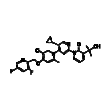 CC1=CC(OCc2ncc(F)cc2F)=C(Cl)CN1c1cc(-n2cccc(C(C)(C)O)c2=O)ncc1C1CC1